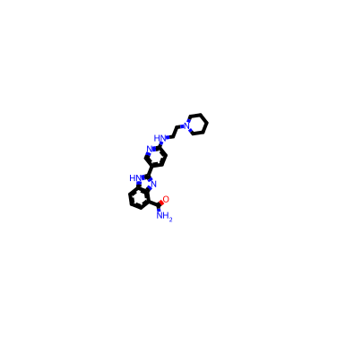 NC(=O)c1cccc2[nH]c(-c3ccc(NCCN4CCCCC4)nc3)nc12